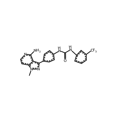 Cn1nc(-c2ccc(NC(=O)Nc3cccc(C(F)(F)F)c3)cc2)c2c(N)nccc21